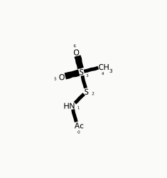 CC(=O)NSS(C)(=O)=O